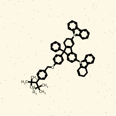 CC(C)(C)C(c1ccc(COc2ccc(C3(c4ccccc4)C4=C(C=C(n5c6ccccc6c6ccccc65)CC4)c4cc(-n5c6c(c7ccccc75)CCC=C6)ccc43)cc2)cc1)C(C)(C)C